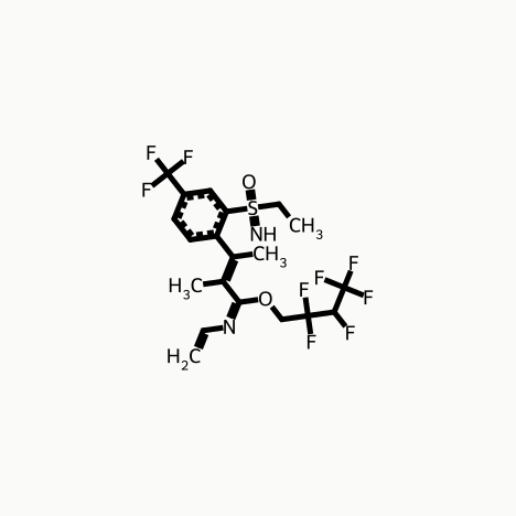 C=C/N=C(OCC(F)(F)C(F)C(F)(F)F)\C(C)=C(/C)c1ccc(C(F)(F)F)cc1S(=N)(=O)CC